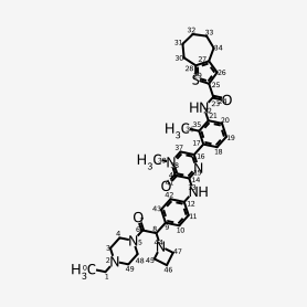 CCN1CCN(C(=O)C(c2ccc(Nc3nc(-c4cccc(NC(=O)c5cc6c(s5)CCCCC6)c4C)cn(C)c3=O)cc2)N2CCC2)CC1